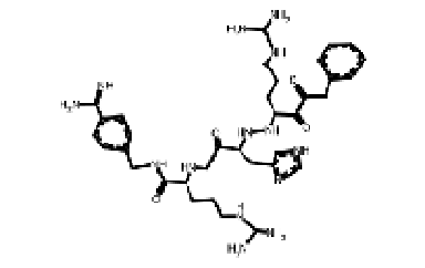 N=C(N)c1ccc(CNC(=O)[C@H](CCCNC(N)N)NCC(=O)[C@H](Cc2c[nH]cn2)NN[C@@H](CCCNC(N)N)C(=O)C(=O)Cc2ccccc2)cc1